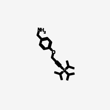 CC(C)[Si](C#CCOc1ccc(CN)cc1)(C(C)C)C(C)C